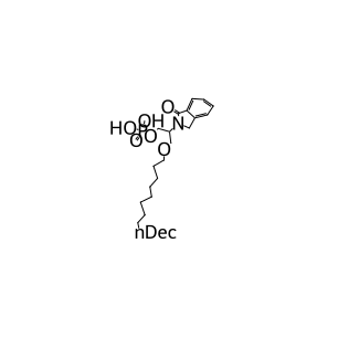 CCCCCCCCCCCCCCCCCCOCC(COP(=O)(O)O)N1Cc2ccccc2C1=O